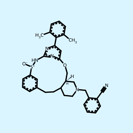 Cc1cccc(C)c1-c1cc2nc(n1)N[S+]([O-])c1cccc(c1)CCC1CCN(Cc3ccccc3C#N)C[C@@H]1CO2